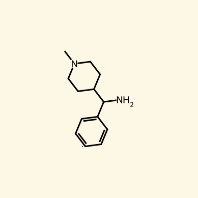 CN1CCC(C(N)c2cc[c]cc2)CC1